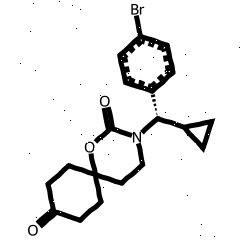 O=C1CCC2(CC1)CCN([C@H](c1ccc(Br)cc1)C1CC1)C(=O)O2